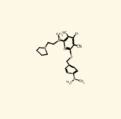 CCc1c(C#N)c(SCc2ccc(N(C)C)cc2)nc(N(C)CCN2CCCC2)c1C#N